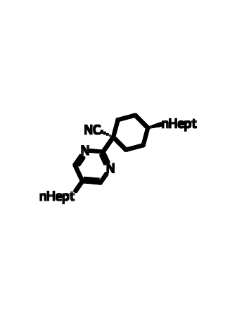 CCCCCCCc1cnc([C@]2(C#N)CC[C@H](CCCCCCC)CC2)nc1